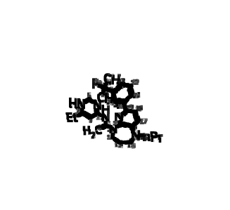 C=C(NC1=NCNC(CC)=C1)N1CCCN(CCC)c2ccc(-c3cccc(C(C)(C)F)c3)nc21